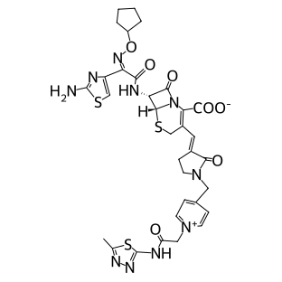 Cc1nnc(NC(=O)C[n+]2ccc(CN3CC/C(=C\C4=C(C(=O)[O-])N5C(=O)[C@@H](NC(=O)/C(=N\OC6CCCC6)c6csc(N)n6)[C@H]5SC4)C3=O)cc2)s1